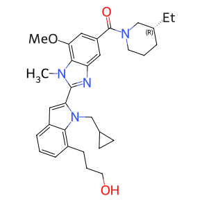 CC[C@@H]1CCCN(C(=O)c2cc(OC)c3c(c2)nc(-c2cc4cccc(CCCO)c4n2CC2CC2)n3C)C1